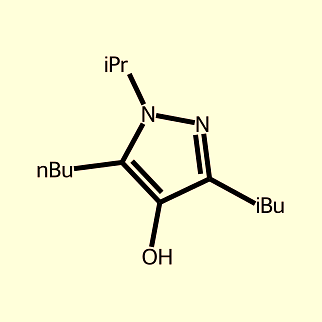 CCCCc1c(O)c(C(C)CC)nn1C(C)C